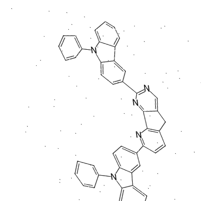 c1ccc(-n2c3ccccc3c3cc(-c4ccc5c(n4)-c4nc(-c6ccc7c(c6)c6ccccc6n7-c6ccccc6)ncc4C5)ccc32)cc1